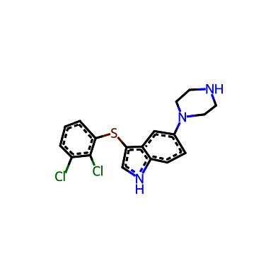 Clc1cccc(Sc2c[nH]c3ccc(N4CCNCC4)cc23)c1Cl